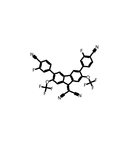 N#CC(C#N)=C1c2cc(OC(F)(F)F)c(-c3ccc(C#N)c(F)c3)cc2-c2cc(-c3ccc(C#N)c(F)c3)c(OC(F)(F)F)cc21